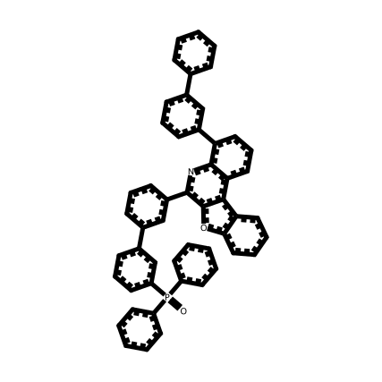 O=P(c1ccccc1)(c1ccccc1)c1cccc(-c2cccc(-c3nc4c(-c5cccc(-c6ccccc6)c5)cccc4c4c3oc3ccccc34)c2)c1